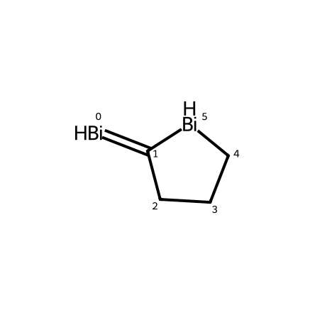 [BiH]=[C]1CC[CH2][BiH]1